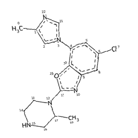 Cc1cn(-c2cc(Cl)cc3nc(N4CCNCC4C)oc23)cn1